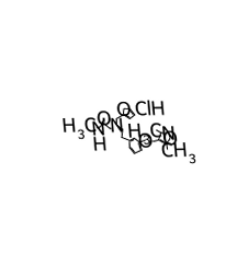 CNC(=O)CN(CCc1cccc(OCc2c(C)noc2C)c1)Cc1ccco1.Cl